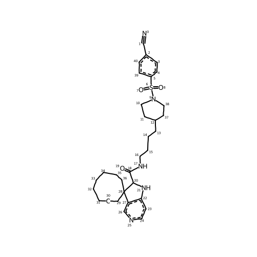 N#Cc1ccc(S(=O)(=O)N2CCC(CCCCNC(=O)C3Nc4ccncc4C34CCCCCCCC4)CC2)cc1